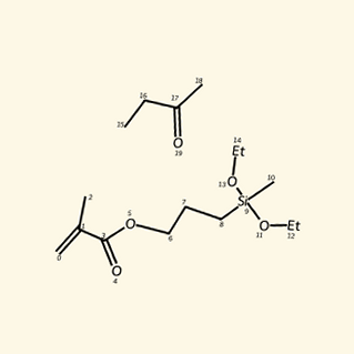 C=C(C)C(=O)OCCC[Si](C)(OCC)OCC.CCC(C)=O